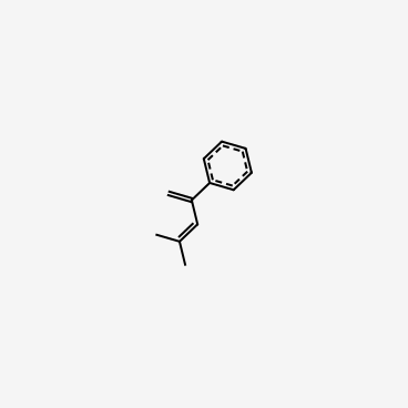 C=C(C=C(C)C)c1ccccc1